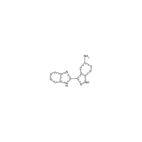 Nc1ccc2[nH]nc(-c3nc4ccccc4[nH]3)c2c1